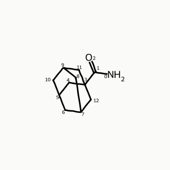 NC(=O)C12C[C]3CC(CC(C3)C1)C2